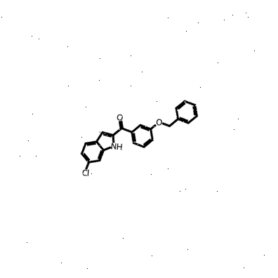 O=C(c1cccc(OCc2ccccc2)c1)c1[c]c2ccc(Cl)cc2[nH]1